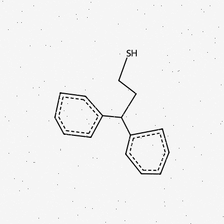 SCCC(c1ccccc1)c1ccccc1